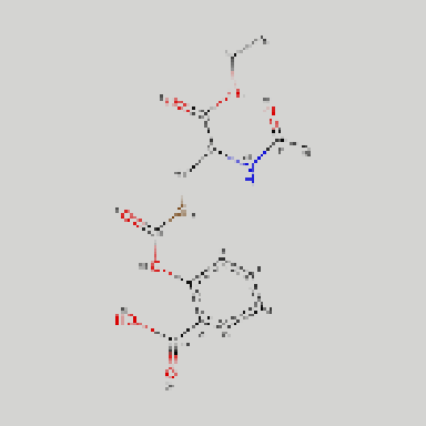 CCOC(=O)C(CSC(=O)Oc1ccccc1C(=O)O)NC(C)=O